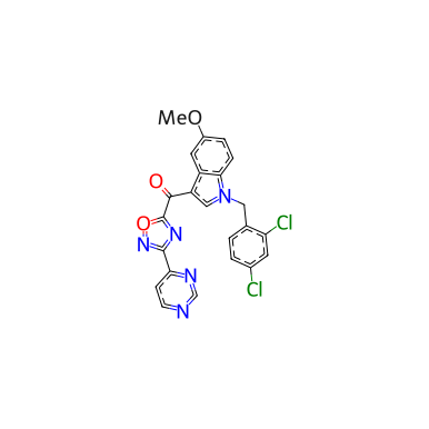 COc1ccc2c(c1)c(C(=O)c1nc(-c3ccncn3)no1)cn2Cc1ccc(Cl)cc1Cl